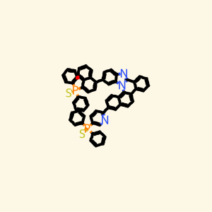 S=P(c1ccccc1)(c1ccccc1)c1ccc(-c2ccc3c(ccc4c5ccccc5c5nc6ccc(-c7ccc(P(=S)(c8ccccc8)c8ccccc8)c8ccccc78)cc6n5c34)c2)nc1